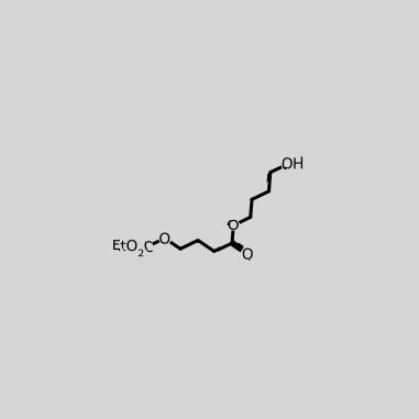 CCOC(=O)OCCCC(=O)OCCCCO